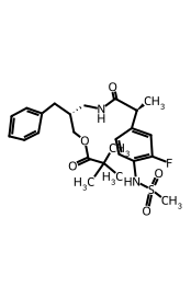 C[C@H](C(=O)NC[C@H](COC(=O)C(C)(C)C)Cc1ccccc1)c1ccc(NS(C)(=O)=O)c(F)c1